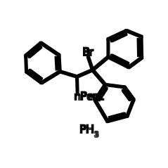 CCCCCC(c1ccccc1)C(Br)(c1ccccc1)c1ccccc1.P